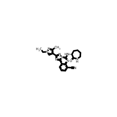 CCn1cc(-c2nc3c4cccc(C#N)c4nc(N[C@@H]4CCCCNC4=O)n3n2)c(C)n1